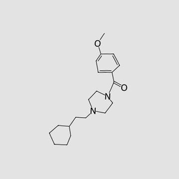 COc1ccc(C(=O)N2CCN(CCC3CCCCC3)CC2)cc1